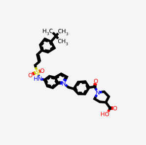 CC(C)(C)c1ccc(C=CCS(=O)(=O)Nc2ccc3c(ccn3Cc3ccc(C(=O)N4CCC(C(=O)O)CC4)cc3)c2)cc1